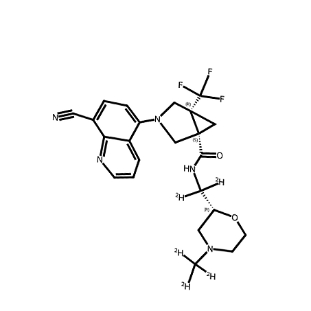 [2H]C([2H])(NC(=O)[C@]12CN(c3ccc(C#N)c4ncccc34)C[C@@]1(C(F)(F)F)C2)[C@H]1CN(C([2H])([2H])[2H])CCO1